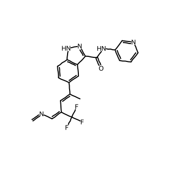 C=N/C=C(\C=C(/C)c1ccc2[nH]nc(C(=O)Nc3cccnc3)c2c1)C(F)(F)F